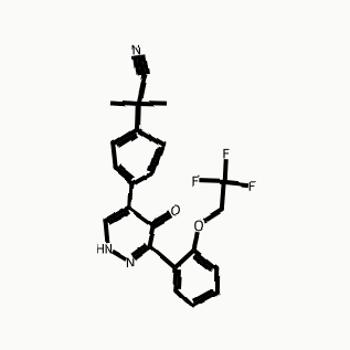 CC(C)(C#N)c1ccc(-c2c[nH]nc(-c3ccccc3OCC(F)(F)F)c2=O)cc1